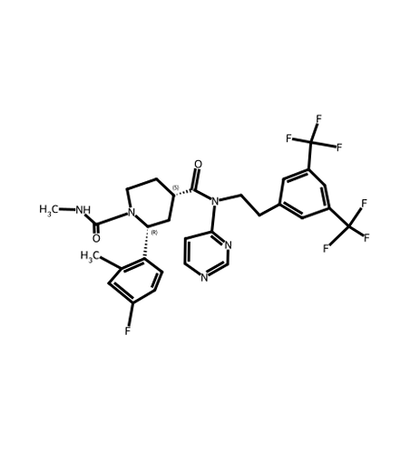 CNC(=O)N1CC[C@H](C(=O)N(CCc2cc(C(F)(F)F)cc(C(F)(F)F)c2)c2ccncn2)C[C@@H]1c1ccc(F)cc1C